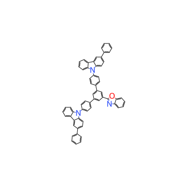 c1ccc(-c2ccc3c(c2)c2ccccc2n3-c2ccc(-c3cc(-c4ccc(-n5c6ccccc6c6cc(-c7ccccc7)ccc65)cc4)cc(-c4nc5ccccc5o4)c3)cc2)cc1